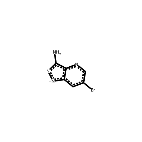 Nc1n[nH]c2cc(Br)cnc12